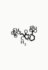 CC(C)(C)OC(=O)C1CCCN2CC(C)(CCOS(C)(=O)=O)C(=O)N12